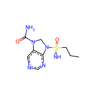 CCCS(=N)(=O)N1CN(C(N)=O)c2cncnc21